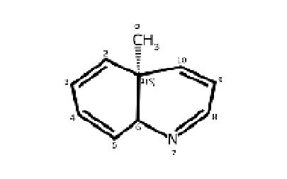 C[C@@]12C=CC=CC1N=CC=C2